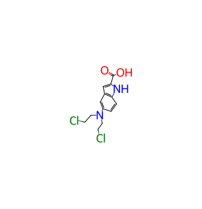 O=C(O)c1cc2cc(N(CCCl)CCCl)ccc2[nH]1